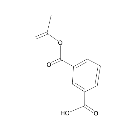 C=C(C)OC(=O)c1cccc(C(=O)O)c1